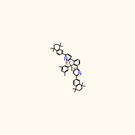 CCC(CC)(c1cc(C)cc(C)c1)c1c(-c2ccc(-c3ccc4c(c3)C(C)(C)CCC4(C)C)nc2)cccc1-c1ccc(-c2ccc3c(c2)C(C)(C)CCC3(C)C)nc1